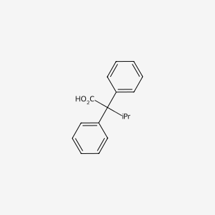 CC(C)C(C(=O)O)(c1ccccc1)c1ccccc1